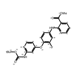 COC(=O)c1cccnc1Nc1ccc(Oc2ccnc(NC(=O)OC(C)(C)C)c2)c(F)c1